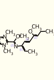 C/C=C(\C=C\C(=C\CC)OC)/N=C(\OC)c1n(C)cc[n+]1C